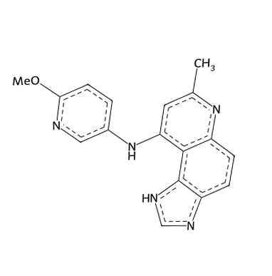 COc1ccc(Nc2cc(C)nc3ccc4nc[nH]c4c23)cn1